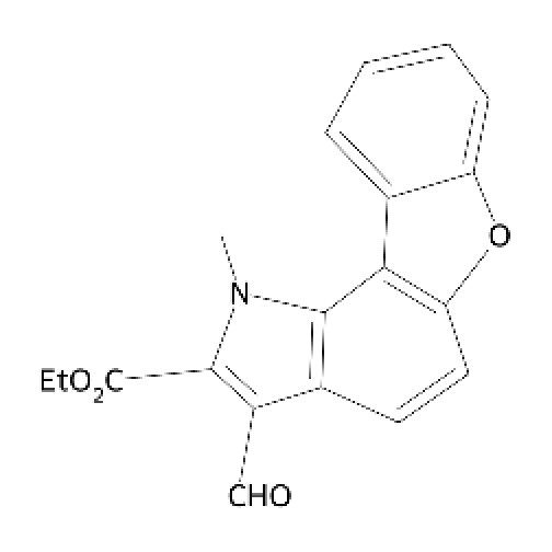 CCOC(=O)c1c(C=O)c2ccc3oc4ccccc4c3c2n1C